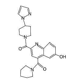 O=C(c1cc(C(=O)N2CCCCC2)c2cc(O)ccc2n1)N1CCC(n2cccn2)CC1